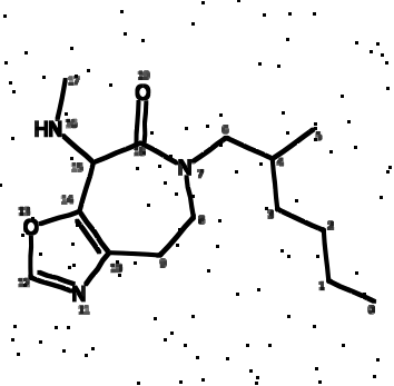 CCCCC(C)CN1CCc2ncoc2C(NC)C1=O